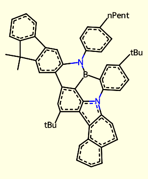 CCCCCc1ccc(N2B3c4cc(C(C)(C)C)ccc4-n4c5ccc6ccccc6c5c5c(C(C)(C)C)cc(c3c54)-c3cc4c(cc32)-c2ccccc2C4(C)C)cc1